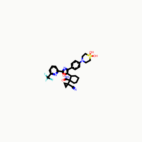 N#CC1(C2(C(N)=O)CCCCC2c2oc(-c3cccc(C(F)(F)F)n3)nc2-c2ccc(N3CCS(O)(O)CC3)cc2)CC1